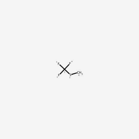 CSC(F)(F)F